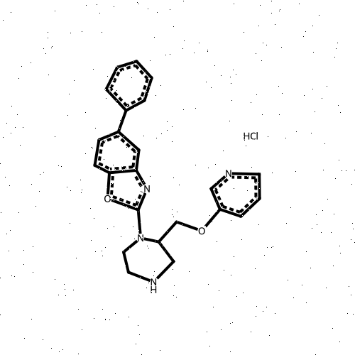 Cl.c1ccc(-c2ccc3oc(N4CCNCC4COc4cccnc4)nc3c2)cc1